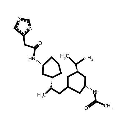 CC(=O)N[C@@H]1CC(CC(C)[C@H]2CCC[C@@H](NC(=O)Cc3cscn3)C2)C[C@@H](C(C)C)C1